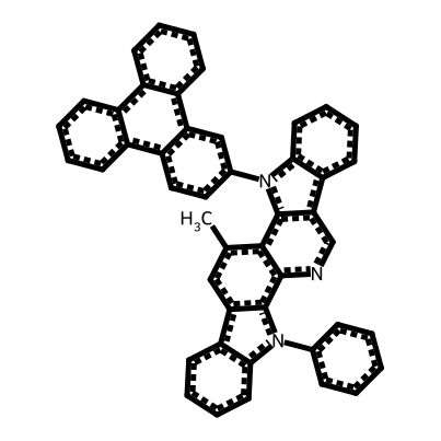 Cc1cc2c3ccccc3n(-c3ccccc3)c2c2ncc3c4ccccc4n(-c4ccc5c6ccccc6c6ccccc6c5c4)c3c12